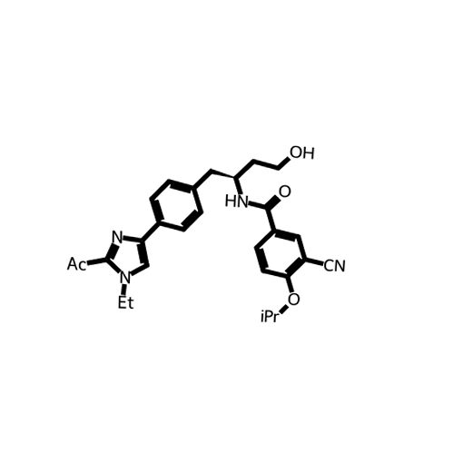 CCn1cc(-c2ccc(C[C@@H](CCO)NC(=O)c3ccc(OC(C)C)c(C#N)c3)cc2)nc1C(C)=O